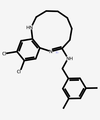 Cc1cc(C)cc(CN/C2=N/c3cc(Cl)c(Cl)cc3NCCCCCC2)c1